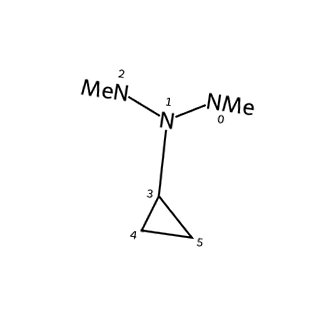 CNN(NC)C1CC1